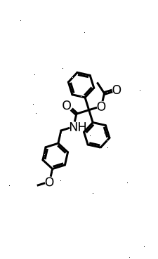 COc1ccc(CNC(=O)C(OC(C)=O)(c2ccccc2)c2ccccc2)cc1